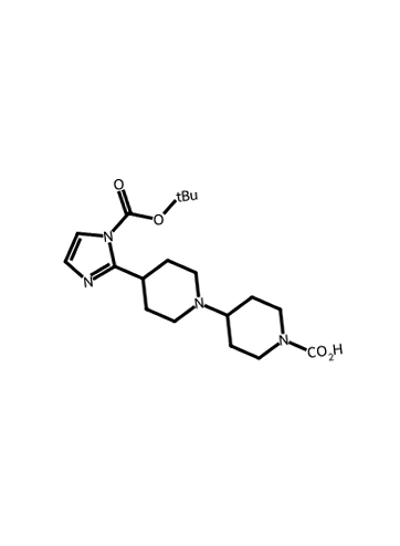 CC(C)(C)OC(=O)n1ccnc1C1CCN(C2CCN(C(=O)O)CC2)CC1